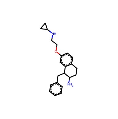 NC1CCc2ccc(OCCNC3CC3)cc2C1Cc1ccccc1